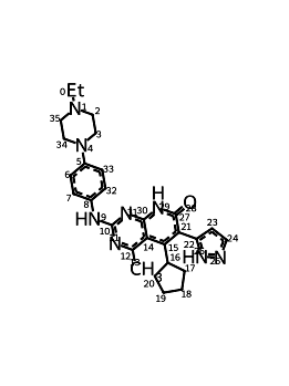 CCN1CCN(c2ccc(Nc3nc(C)c4c(C5CCCC5)c(-c5ccn[nH]5)c(=O)[nH]c4n3)cc2)CC1